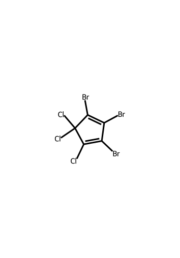 ClC1=C(Br)C(Br)=C(Br)C1(Cl)Cl